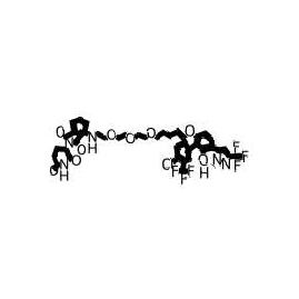 Cn1nc(C(F)(F)F)cc1-c1ccc(OCCCCCOCCOCCOCCNc2cccc3c2C(=O)N(C2CCC(=O)NC2=O)C3=O)c(-c2ccc(Cl)c(C(F)(F)F)c2)c1O